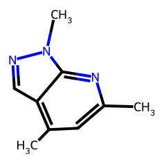 Cc1cc(C)c2cnn(C)c2n1